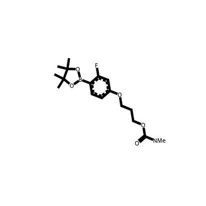 CNC(=O)OCCCOc1ccc(B2OC(C)(C)C(C)(C)O2)c(F)c1